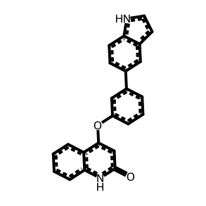 O=c1cc(Oc2cccc(-c3ccc4[nH]ccc4c3)c2)c2ccccc2[nH]1